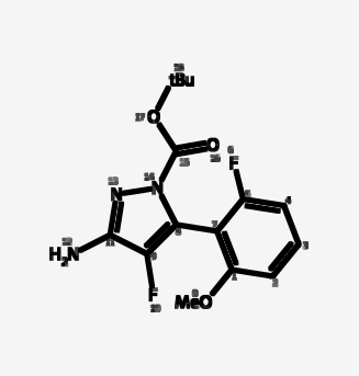 COc1cccc(F)c1-c1c(F)c(N)nn1C(=O)OC(C)(C)C